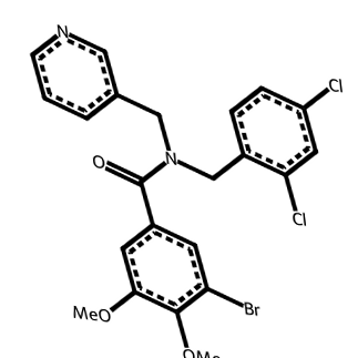 COc1cc(C(=O)N(Cc2cccnc2)Cc2ccc(Cl)cc2Cl)cc(Br)c1OC